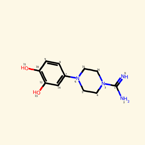 N=C(N)N1CCN(c2ccc(O)c(O)c2)CC1